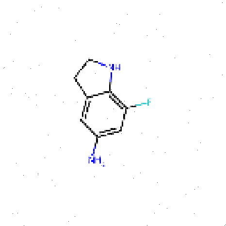 Nc1cc(F)c2c(c1)CCN2